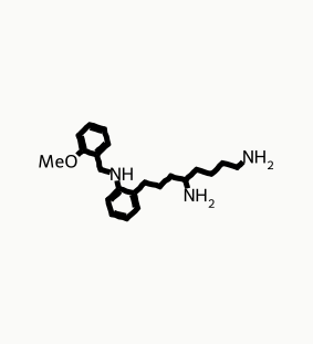 COc1ccccc1CNc1ccccc1CCCC(N)CCCCN